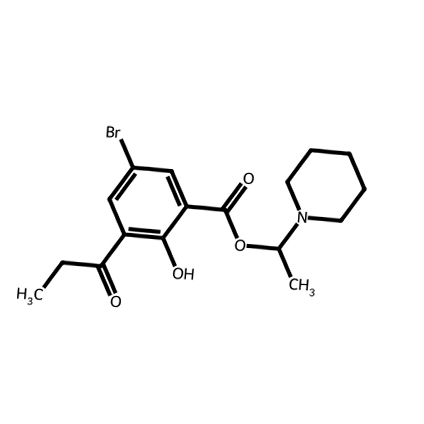 CCC(=O)c1cc(Br)cc(C(=O)OC(C)N2CCCCC2)c1O